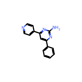 Nc1nc(-c2ccccc2)cc(-c2ccncc2)n1